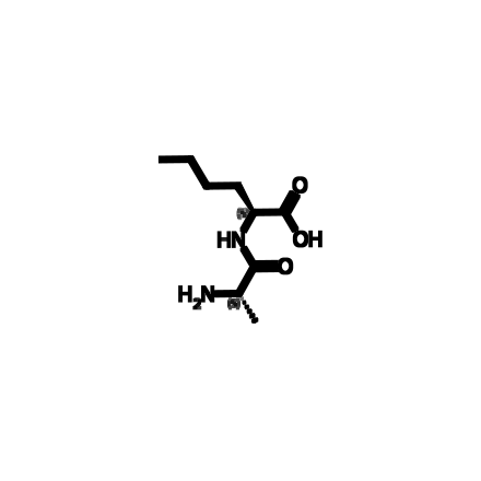 CCCC[C@H](NC(=O)[C@H](C)N)C(=O)O